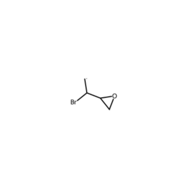 [CH2]C(Br)C1CO1